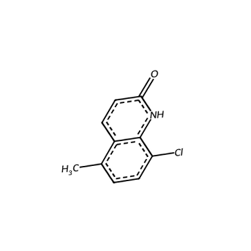 Cc1ccc(Cl)c2[nH]c(=O)ccc12